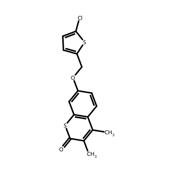 Cc1c(C)c2ccc(OCc3ccc(Cl)s3)cc2sc1=O